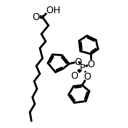 CCCCCCCCCCCCCC(=O)O.O=P(Oc1ccccc1)(Oc1ccccc1)Oc1ccccc1